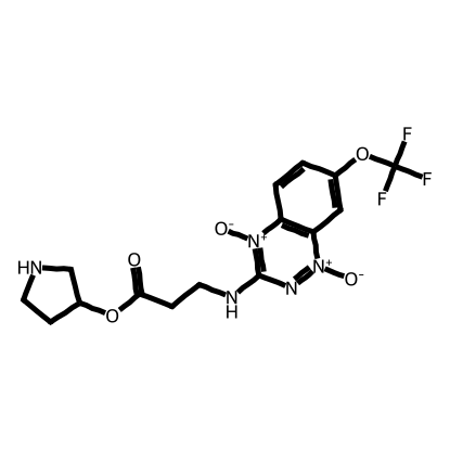 O=C(CCNc1n[n+]([O-])c2cc(OC(F)(F)F)ccc2[n+]1[O-])OC1CCNC1